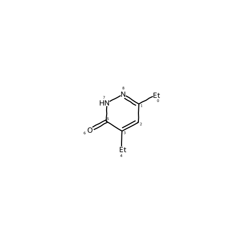 CCc1cc(CC)c(=O)[nH]n1